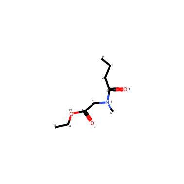 CCCC(=O)N(C)CC(=O)OCC